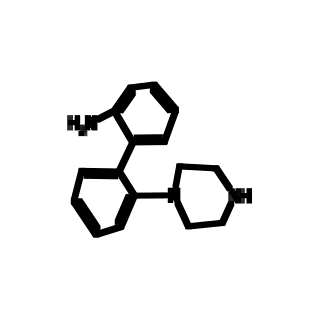 Nc1ccccc1-c1ccccc1N1CCNCC1